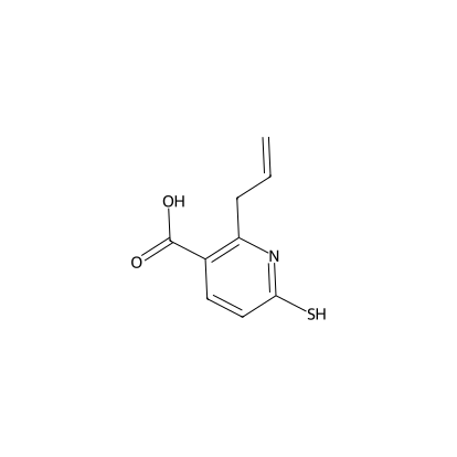 C=CCc1nc(S)ccc1C(=O)O